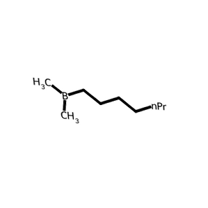 CCCCCCCB(C)C